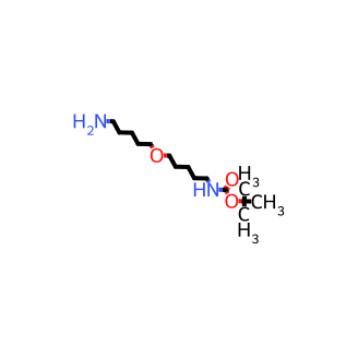 CC(C)(C)OC(=O)NCCCCCOCCCCCN